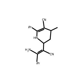 CC(C)C1=C(C#N)C(C)CC(/C(C#N)=C(\N)C(C)C)N1